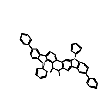 CC1c2cc3c4cc(-c5ccccc5)ccc4n(-c4ccccc4)c3cc2-c2ccc3c4cc(-c5ccccc5)ccc4n(C4C=CC=CC4)c3c2C1C